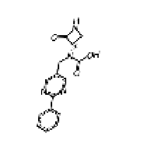 O=C1NC[C@@H]1N(Cc1cnc(-c2ccccc2)nc1)C(=O)O